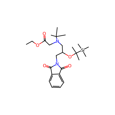 CCOC(=O)CN(CC(CN1C(=O)c2ccccc2C1=O)OC(C)(C)[Si](C)(C)C)C(C)(C)C